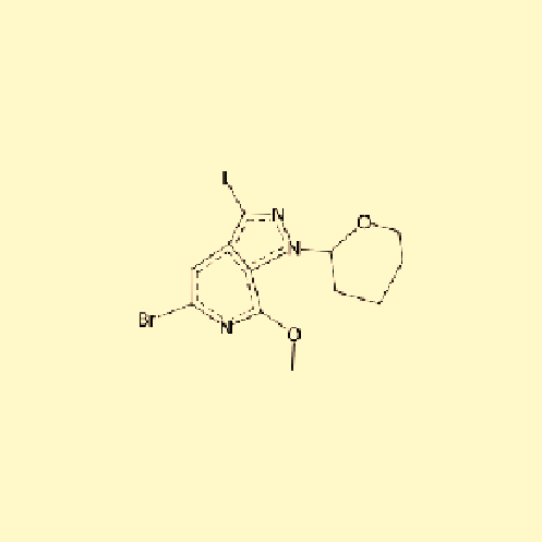 COc1nc(Br)cc2c(I)nn(C3CCCCO3)c12